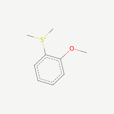 COc1ccccc1[S+](C)C